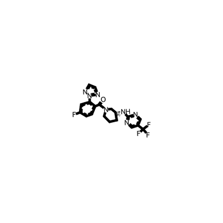 O=C(c1ccc(F)cc1-n1nccn1)N1CCC[C@@H](Nc2ncc(C(F)(F)F)cn2)C1